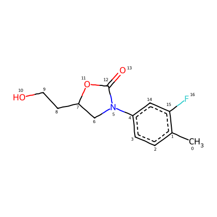 Cc1ccc(N2CC(CCO)OC2=O)cc1F